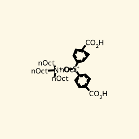 CCCCCCCC[N+](CCCCCCCC)(CCCCCCCC)CCCCCCCC.O=C(O)c1ccc([S+]([O-])c2ccc(C(=O)O)cc2)cc1